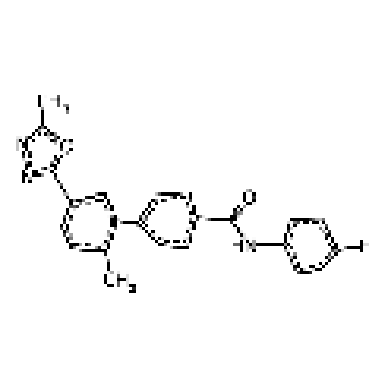 Cc1nnc(-c2ccc(C)c(-c3ccc(C(=O)Nc4ccc(F)cc4)cc3)c2)o1